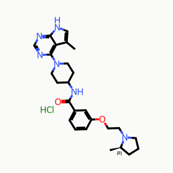 Cc1c[nH]c2ncnc(N3CCC(NC(=O)c4cccc(OCCN5CCC[C@H]5C)c4)CC3)c12.Cl